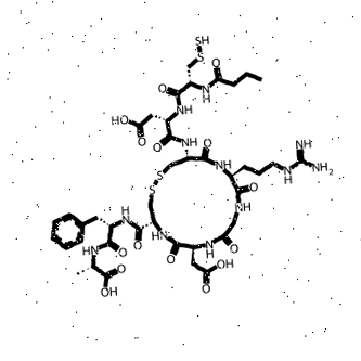 CCCC(=O)N[C@@H](CSS)C(=O)N[C@@H](CC(=O)O)C(=O)N[C@H]1CSSC[C@@H](C(=O)N[C@@H](Cc2ccccc2)C(=O)N[C@@H](C)C(=O)O)NC(=O)[C@H](CC(=O)O)NC(=O)CNC(=O)[C@H](CCCNC(=N)N)NC1=O